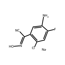 N#CC(=NO)c1cc(N)c(F)cc1Cl.[Na]